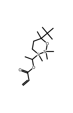 C=CC(=O)OC(C)[Si]1(C)CCC(C)(C(C)(C)C)O[Si]1(C)C